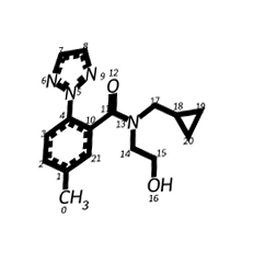 Cc1ccc(-n2nccn2)c(C(=O)N(CCO)CC2CC2)c1